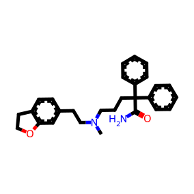 CN(CCCC(C(N)=O)(c1ccccc1)c1ccccc1)CCc1ccc2c(c1)OCC2